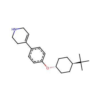 CC(C)(C)[C@H]1CC[C@H](Oc2ccc(C3=CCNCC3)cc2)CC1